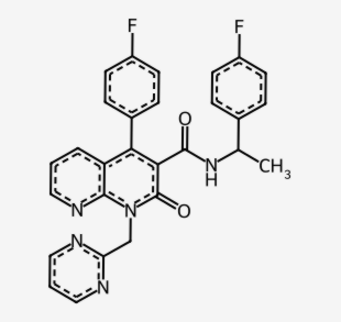 CC(NC(=O)c1c(-c2ccc(F)cc2)c2cccnc2n(Cc2ncccn2)c1=O)c1ccc(F)cc1